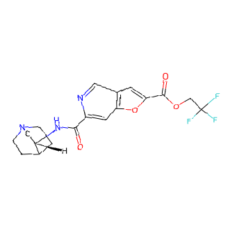 O=C(N[C@H]1CN2CCC1CC2)c1cc2oc(C(=O)OCC(F)(F)F)cc2cn1